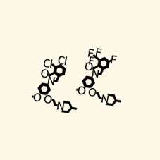 COc1ccc(N2Cc3cc(F)cc(C(F)(F)F)c3C2=O)cc1OCCN1CCC(C)CC1.COc1ccc(N2Cc3ccc(Cl)c(Cl)c3C2=O)cc1OCCN1CCC(C)CC1